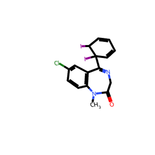 CN1C(=O)CN=C(C2(I)C=CC=CC2I)c2cc(Cl)ccc21